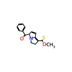 COC(=S)C1=C2C=CC(C(=O)c3ccccc3)N2CC1